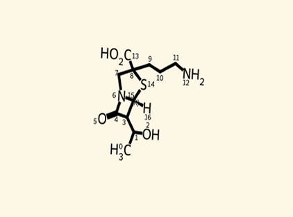 CC(O)C1C(=O)N2CC(CCCN)(C(=O)O)S[C@H]12